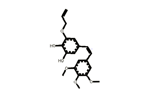 C=CCOc1cc(/C=C\c2cc(OC)c(OC)c(OC)c2)cc(O)c1O